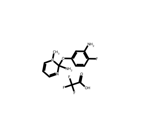 CN1C=CC=NC1(N)Oc1ccc(F)c(N)c1.O=C(O)C(F)(F)F